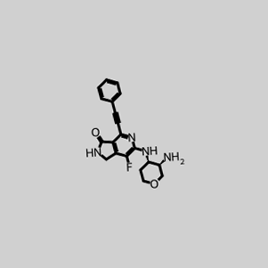 N[C@H]1COCC[C@H]1Nc1nc(C#Cc2ccccc2)c2c(c1F)CNC2=O